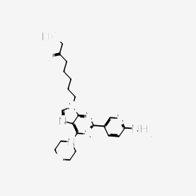 Nc1ccc(-c2nc(N3CCOCC3)c3ncn(CCCCCC(=O)CO)c3n2)cn1